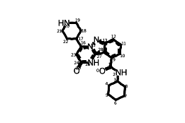 O=C(NC1CCCCC1)c1cccc2nn3c(C4CCNCC4)cc(=O)[nH]c3c12